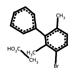 CC(=O)O.Cc1ccc(Br)c(C)c1-c1ccccc1